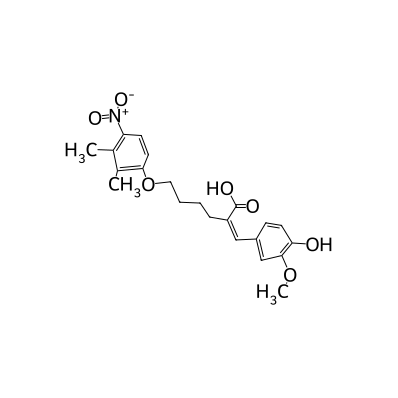 COc1cc(C=C(CCCCOc2ccc([N+](=O)[O-])c(C)c2C)C(=O)O)ccc1O